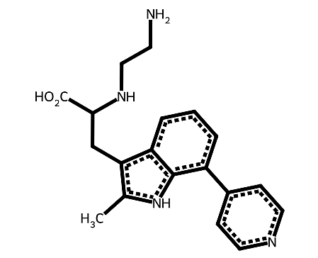 Cc1[nH]c2c(-c3ccncc3)cccc2c1CC(NCCN)C(=O)O